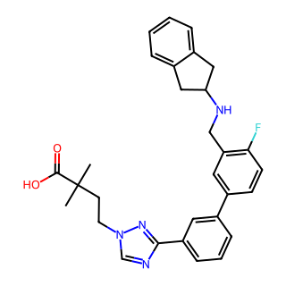 CC(C)(CCn1cnc(-c2cccc(-c3ccc(F)c(CNC4Cc5ccccc5C4)c3)c2)n1)C(=O)O